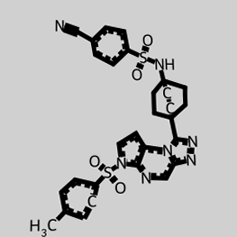 Cc1ccc(S(=O)(=O)n2ccc3c2ncc2nnc(C45CCC(NS(=O)(=O)c6ccc(C#N)cc6)(CC4)CC5)n23)cc1